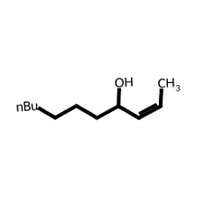 C/C=C\C(O)CCCCCCC